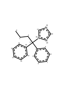 CCCC(c1ccccc1)(c1ccccc1)n1cncn1